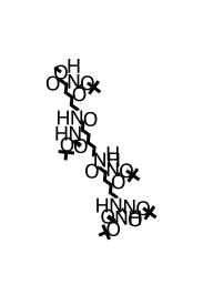 COC(=O)C(CCCCNC(=O)C(CCCCNC(=O)C(CCCCNC(=NC(=O)OC(C)(C)C)NC(=O)OC(C)(C)C)NC(=O)OC(C)(C)C)NC(=O)OC(C)(C)C)NC(=O)OC(C)(C)C